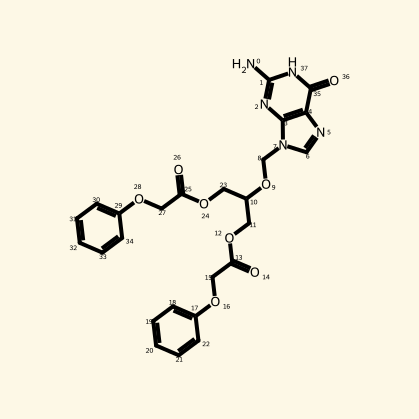 Nc1nc2c(ncn2COC(COC(=O)COc2ccccc2)COC(=O)COc2ccccc2)c(=O)[nH]1